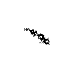 Cn1c2ccncc2c2ccc(N3CC4(CC(O)C4)C3)nc21